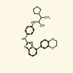 CC(C(O)Nc1ccc(Nc2nc3cccc(-c4ccc5c(c4)OCCO5)n3n2)cc1)N1CCCC1